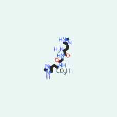 N[C@@H](Cc1c[nH]cn1)C(=O)NCC(=O)N[C@@H](Cc1c[nH]cn1)C(=O)O